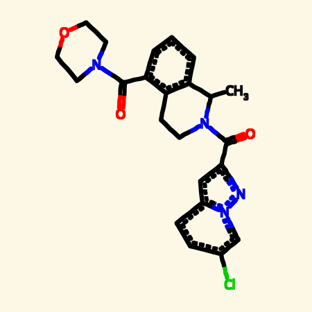 CC1c2cccc(C(=O)N3CCOCC3)c2CCN1C(=O)c1cc2ccc(Cl)cn2n1